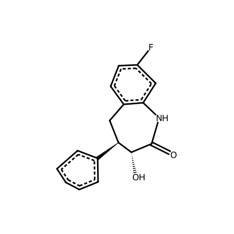 O=C1Nc2cc(F)ccc2C[C@H](c2ccccc2)[C@H]1O